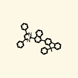 CC1(c2ccccc2)c2ccccc2-c2ccc(-c3ccc(-c4nc(-c5ccccc5)cc(-c5ccccc5)n4)c4ccccc34)cc21